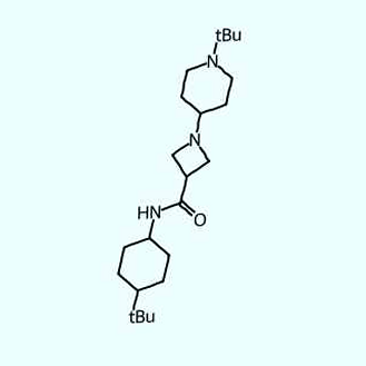 CC(C)(C)C1CCC(NC(=O)C2CN(C3CCN(C(C)(C)C)CC3)C2)CC1